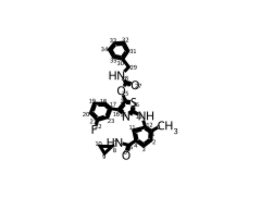 Cc1ccc(C(=O)NC2CC2)cc1Nc1nc(-c2cccc(F)c2)c(OC(=O)NCc2ccccc2)s1